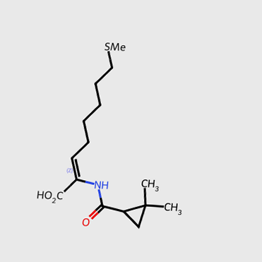 CSCCCCC/C=C(\NC(=O)C1CC1(C)C)C(=O)O